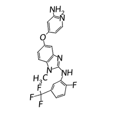 Cn1c(Nc2cc(C(F)(F)F)ccc2F)nc2cc(Oc3ccnc(N)c3)ccc21